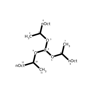 CCCCCCCCC(C)OB(OC(C)CCCCCCCC)OC(C)CCCCCCCC